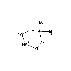 CCC1(CC)COPOC1